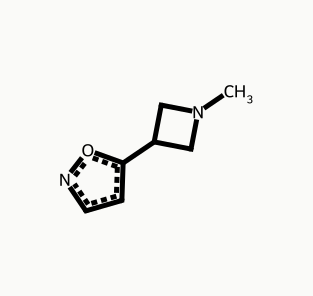 CN1CC(c2ccno2)C1